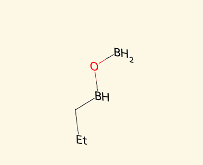 BOBCCC